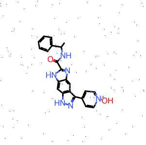 CC(NC(=O)c1nc2cc3c(-c4cc[n+](O)cc4)n[nH]c3cc2[nH]1)c1ccccc1